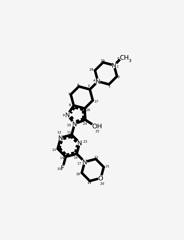 CN1CCN(C2CCc3nn(-c4ncc(F)c(N5CCOCC5)n4)c(O)c3C2)CC1